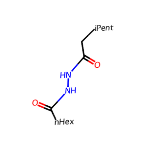 CCCCCCC(=O)NNC(=O)CC(C)CCC